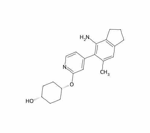 Cc1cc2c(c(N)c1-c1ccnc(O[C@H]3CC[C@@H](O)CC3)c1)CCC2